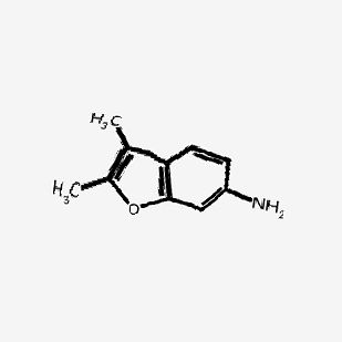 Cc1oc2cc(N)ccc2c1C